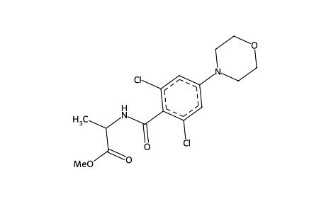 COC(=O)C(C)NC(=O)c1c(Cl)cc(N2CCOCC2)cc1Cl